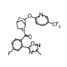 Cc1noc(-c2cc(F)ccc2C(=O)N2CC3CC(Oc4ccc(C(F)(F)F)cn4)C2C3)n1